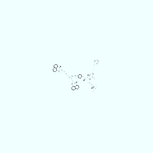 CC(C)[C@H](NC(=O)CCCCCN1C(=O)C=CC1=O)C(=O)N[C@@H](CCCNC(N)=O)C(=O)Nc1ccc(COC(=O)N(CCCNCCN2C(=O)c3cccc4cccc(c34)C2=O)CCN2C(=O)c3cccc4cccc(c34)C2=O)cc1